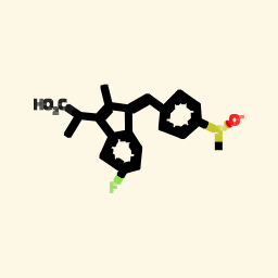 CC1=C(C(C)C(=O)O)c2cc(F)ccc2C1=Cc1ccc([S+](C)[O-])cc1